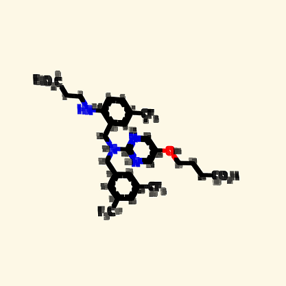 CCOC(=O)CCNc1ccc(C(F)(F)F)cc1CN(Cc1cc(C(F)(F)F)cc(C(F)(F)F)c1)c1ncc(OCCCC(=O)O)cn1